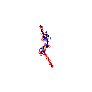 CC(C)C(=O)CCOCCOCCOCCOCCNC(=O)[C@H](CCC(=O)O)NC(=O)[C@@H](C)CSC1CC(=O)N(CCCCCC(=O)N[SiH2][C@H](C(=O)CC[C@@H](CCCNC(N)=O)C(=O)Nc2ccc(COC(=O)C(C)C)cc2)C(C)C)C1=O